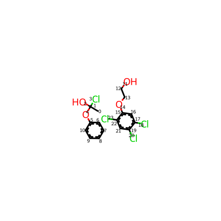 CC(O)(Cl)Oc1ccccc1.OCCOc1cc(Cl)c(Cl)cc1Cl